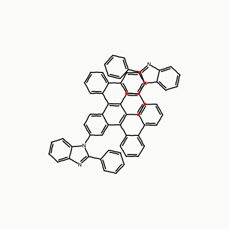 c1ccc(-c2ccccc2-c2c3ccc(-n4c(-c5ccccc5)nc5ccccc54)cc3c(-c3ccccc3-c3ccccc3)c3ccc(-n4c(-c5ccccc5)nc5ccccc54)cc23)cc1